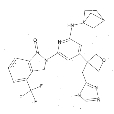 Cn1cnnc1CC1(c2cc(NC34CCC(C3)C4)nc(N3Cc4c(cccc4C(F)(F)F)C3=O)c2)COC1